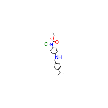 CCOC(=O)N(Cl)c1ccc(NCc2ccc(C(C)C)cc2)cc1